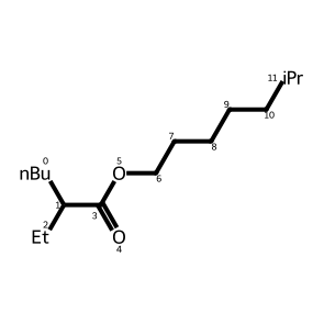 CCCCC(CC)C(=O)OCCCCCC(C)C